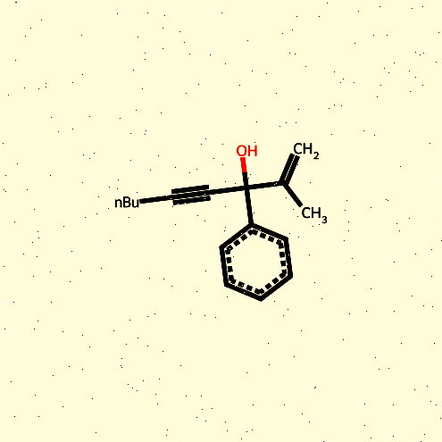 C=C(C)C(O)(C#CCCCC)c1ccccc1